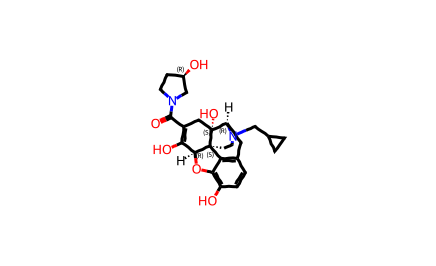 O=C(C1=C(O)[C@@H]2Oc3c(O)ccc4c3[C@@]23CCN(CC2CC2)[C@H](C4)[C@]3(O)C1)N1CC[C@@H](O)C1